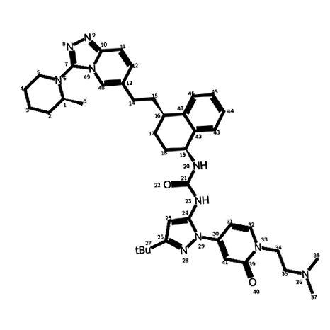 C[C@H]1CCCCN1c1nnc2ccc(CC[C@@H]3CC[C@H](NC(=O)Nc4cc(C(C)(C)C)nn4-c4ccn(CCN(C)C)c(=O)c4)c4ccccc43)cn12